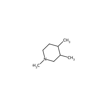 [CH2]N1CCC(C)C(C)C1